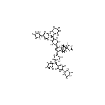 CC12CCC(c3nc4c(-c5ccc(N(c6ccccc6)c6ccc(-c7ccccc7)cc6)cc5)sc(-c5ccc(N(c6ccccc6)c6ccc(-c7ccccc7)cc6)cc5)c4nc31)C2(C)C